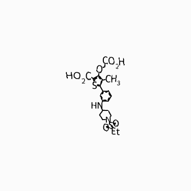 CCS(=O)(=O)N1CCC(Nc2cccc(-c3sc(C(=O)O)c(OCC(=O)O)c3C)c2)CC1